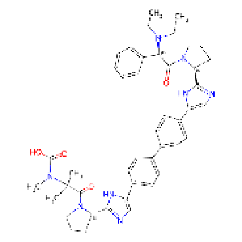 CCN(CC)[C@@H](C(=O)N1CCC[C@H]1c1ncc(-c2ccc(-c3ccc(-c4cnc([C@@H]5CCCN5C(=O)C(C)(C)N(C)C(=O)O)[nH]4)cc3)cc2)[nH]1)c1ccccc1